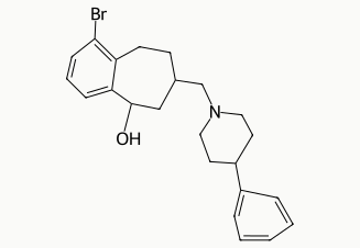 OC1CC(CN2CCC(c3ccccc3)CC2)CCc2c(Br)cccc21